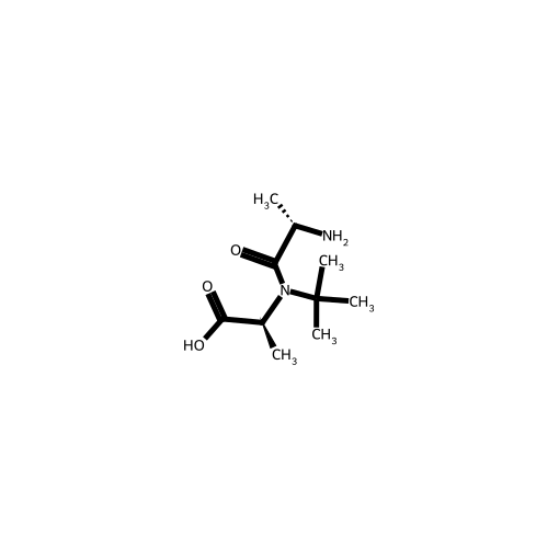 C[C@H](N)C(=O)N([C@@H](C)C(=O)O)C(C)(C)C